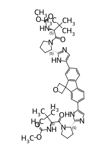 COC(=O)N[C@H](C(=O)N1CCC[C@H]1c1ncc(-c2ccc3c(c2)C2(COC2)c2cc(-c4cnc([C@@H]5CCCN5C(=O)[C@@H](NC(=O)OC)C(C)(C)C)[nH]4)ccc2-3)[nH]1)C(C)(C)C